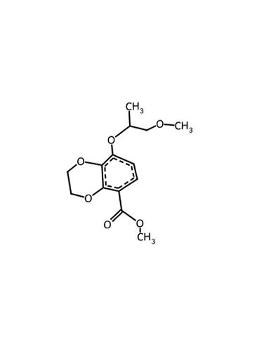 COCC(C)Oc1ccc(C(=O)OC)c2c1OCCO2